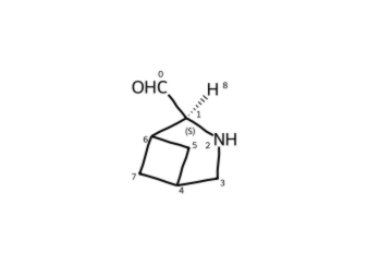 O=C[C@H]1NCC2CC1C2